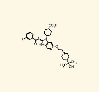 CC(C)(O)C1CCN(CCOc2cc3c(cn2)[nH]/c(=N\C(=O)c2cccc(F)c2)n3[C@H]2CC[C@@H](C(=O)O)CC2)CC1